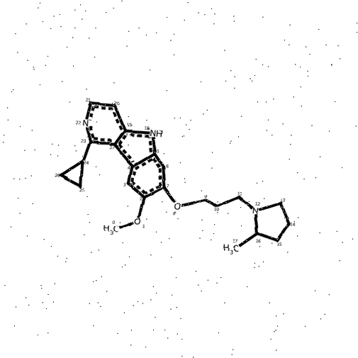 COc1cc2c(cc1OCCCN1CCCC1C)[nH]c1ccnc(C3CC3)c12